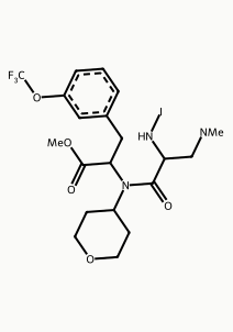 CNCC(NI)C(=O)N(C1CCOCC1)C(Cc1cccc(OC(F)(F)F)c1)C(=O)OC